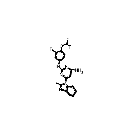 Cc1nc2ccccc2n1-c1cc(N)nc(Nc2ccc(OC(F)F)c(F)c2)n1